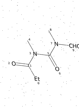 CCC(=O)N(C)C(=O)N(C)C=O